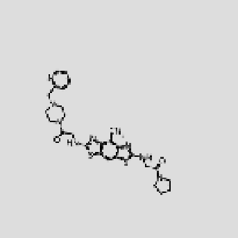 Cc1c2nc(NCC(=O)N3CCCC3)sc2cc2sc(NCC(=O)N3CCN(Cc4ccccn4)CC3)nc12